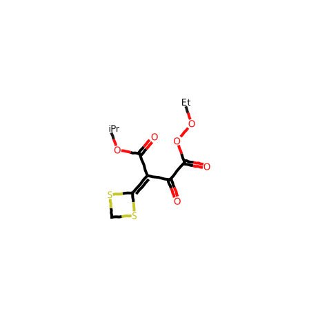 CCOOC(=O)C(=O)C(C(=O)OC(C)C)=C1SCS1